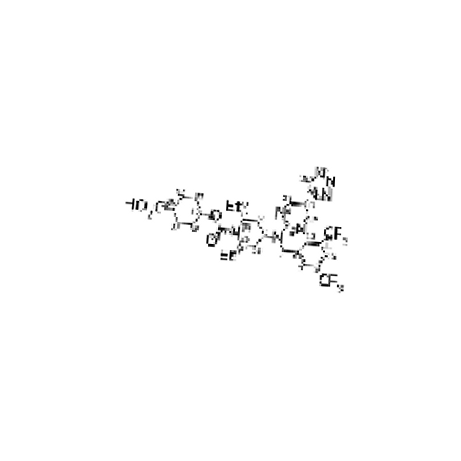 CC[C@@H]1CC(N(Cc2cc(C(F)(F)F)cc(C(F)(F)F)c2)c2ncc(-n3cnnn3)cn2)C[C@H](CC)N1C(=O)O[C@H]1CC[C@H](C(=O)O)CC1